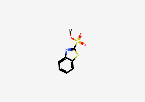 CCOS(=O)(=O)c1nc2ccccc2s1